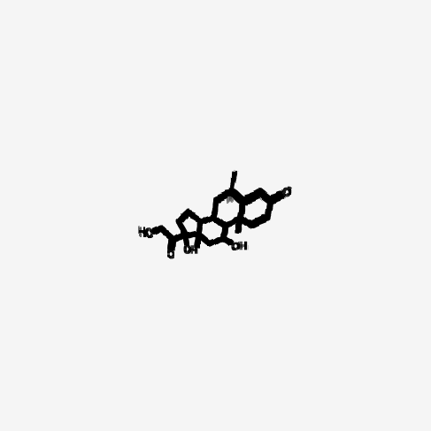 C[C@@H]1CC2C(C(O)CC3(C)C2CCC3(O)C(=O)CO)C2(C)C=CC(=O)C=C12